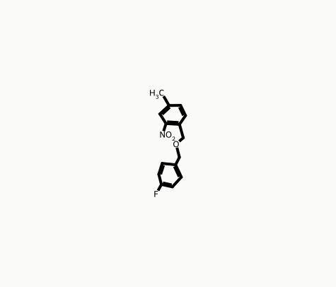 Cc1ccc(COCc2ccc(F)cc2)c([N+](=O)[O-])c1